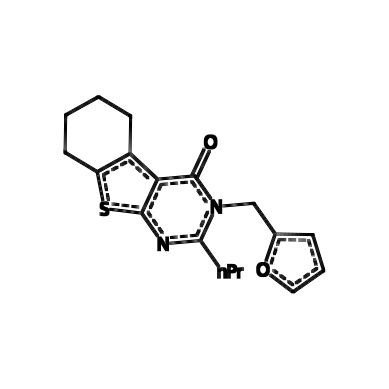 CCCc1nc2sc3c(c2c(=O)n1Cc1ccco1)CCCC3